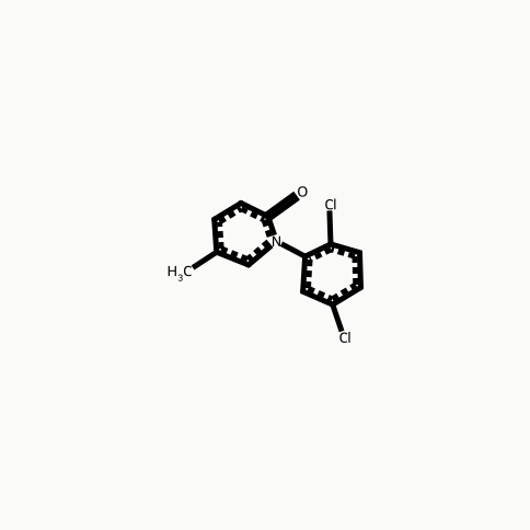 Cc1ccc(=O)n(-c2cc(Cl)ccc2Cl)c1